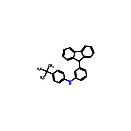 CC(C)(C)c1ccc(Nc2cccc(C3c4ccccc4-c4ccccc43)c2)cc1